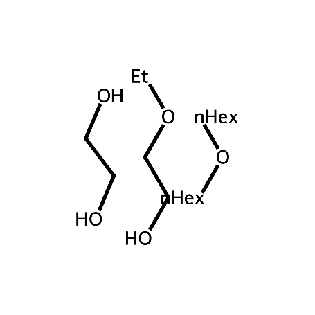 CCCCCCOCCCCCC.CCOCCO.OCCO